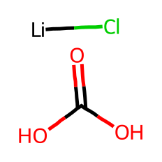 O=C(O)O.[Li][Cl]